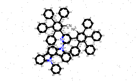 N#Cc1c(-c2ccccc2)c(-c2ccccc2)c(-c2ccccc2)c(-c2ccccc2)c1-c1cc(-c2c(C#N)c(-c3ccccc3)c(-c3ccccc3)c(-c3ccccc3)c2-c2ccccc2)nc(-n2c3ccccc3c3c2ccc2c4ccccc4n(-c4ccccc4)c23)c1